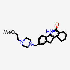 COCCN1CCN(Cc2ccc3c(c2)Cc2c-3[nH]c(=O)c3c2CCCC3)CC1